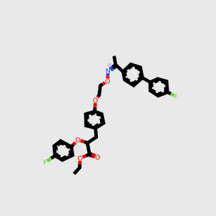 CCOC(=O)C(Cc1ccc(OCCO/N=C(/C)c2ccc(-c3ccc(F)cc3)cc2)cc1)Oc1ccc(F)cc1